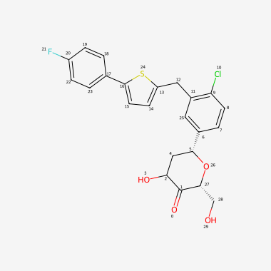 O=C1C(O)C[C@H](c2ccc(Cl)c(Cc3ccc(-c4ccc(F)cc4)s3)c2)O[C@@H]1CO